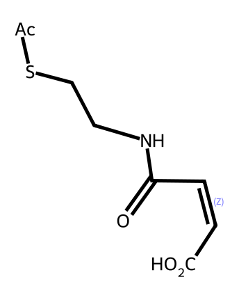 CC(=O)SCCNC(=O)/C=C\C(=O)O